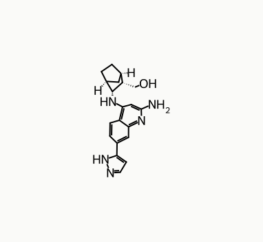 Nc1cc(N[C@@H]2[C@H]3CC[C@H](C3)[C@@H]2CO)c2ccc(-c3ccn[nH]3)cc2n1